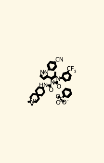 Cc1c(-c2ccnn2-c2ccc(C#N)cc2)n(C(=O)NC2CCC3(CC2)CC[N+](C)(C)CC3)c(=O)n1-c1cccc(C(F)(F)F)c1.O=S(=O)([O-])c1ccccc1